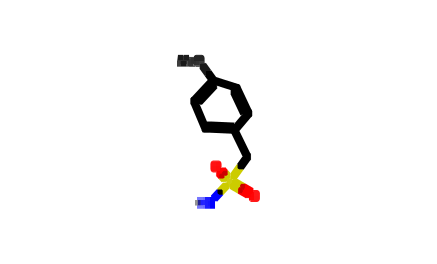 COc1ccc(CS([NH])(=O)=O)cc1